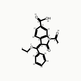 CCOC(=C1C(=O)N(C(C)=O)c2cc(C(=O)O)ccc21)c1ccccc1